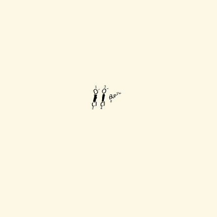 [Ba+2].[O-]Cl.[O-]Cl